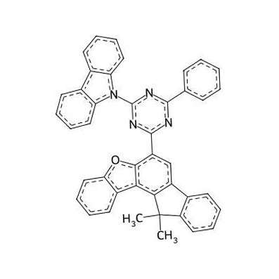 CC1(C)c2ccccc2-c2cc(-c3nc(-c4ccccc4)nc(-n4c5ccccc5c5ccccc54)n3)c3oc4ccccc4c3c21